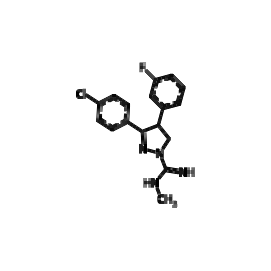 CNC(=N)N1CC(c2cccc(F)c2)C(c2ccc(Cl)cc2)=N1